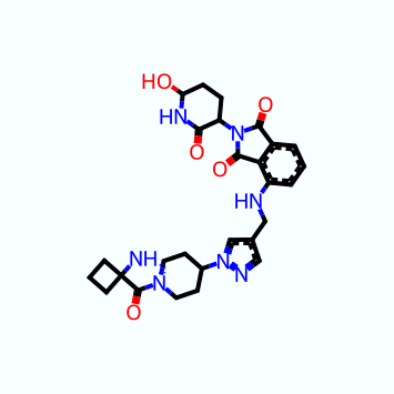 NC1(C(=O)N2CCC(n3cc(CNc4cccc5c4C(=O)N(C4CCC(O)NC4=O)C5=O)cn3)CC2)CCC1